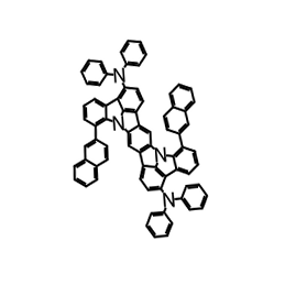 c1ccc(N(c2ccccc2)c2ccc3c4cc5c(cc4n4c6c(-c7ccc8ccccc8c7)cccc6c2c34)c2ccc(N(c3ccccc3)c3ccccc3)c3c4cccc(-c6ccc7ccccc7c6)c4n5c23)cc1